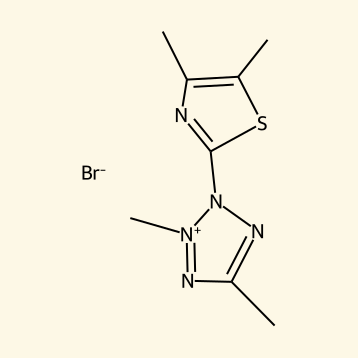 Cc1nn(-c2nc(C)c(C)s2)[n+](C)n1.[Br-]